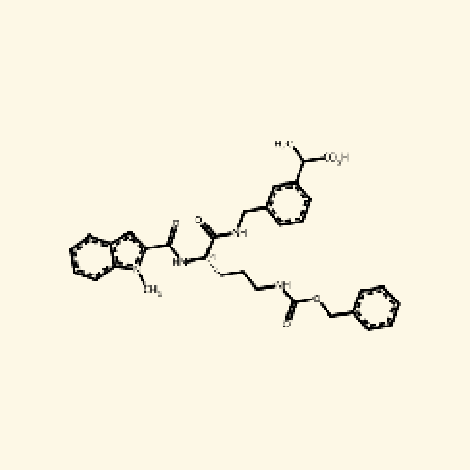 CC(C(=O)O)c1cccc(CNC(=O)[C@H](CCCNC(=O)OCc2ccccc2)NC(=O)c2cc3ccccc3n2C)c1